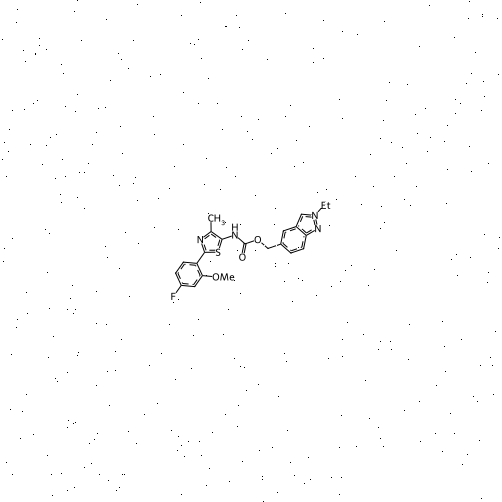 CCn1cc2cc(COC(=O)Nc3sc(-c4ccc(F)cc4OC)nc3C)ccc2n1